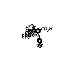 CCOP(=O)(OCC)C(F)(F)c1sc2c(OCc3ccc(S(C)(=O)=O)cc3)cc(C(=O)O)cc2c1Br